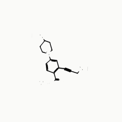 COC(=O)c1ccc(N2CCC(N)CC2)cc1C#CCN